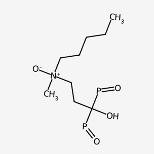 CCCCC[N+](C)([O-])CCC(O)(P=O)P=O